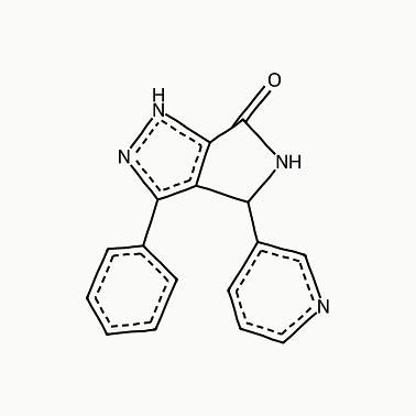 O=C1NC(c2cccnc2)c2c(-c3ccccc3)n[nH]c21